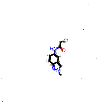 Cn1cc2cc(NC(=O)CCl)ccc2n1